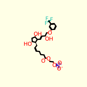 O=C(CCC/C=C\C[C@@H]1C(/C=C/[C@@H](O)COc2cccc(C(F)(F)F)c2)[C@H](O)C[C@@H]1O)OCCO[N+](=O)[O-]